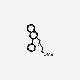 COCCOCc1cc2ccccc2cc1-c1ccccc1